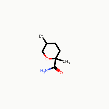 CCC1CCC(C)(C(N)=O)OC1